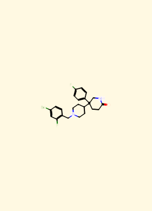 O=C1CCC(c2ccc(F)cc2)(C2CCN(Cc3ccc(Br)cc3F)CC2)CN1